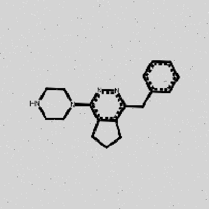 c1ccc(Cc2nnc(N3CCNCC3)c3c2CCC3)cc1